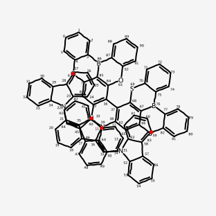 c1ccc2c(c1)Oc1cc(-n3c4ccccc4c4cccc(-n5c6ccccc6c6ccccc65)c43)c(-c3c(-n4c5ccccc5c5cccc(-n6c7ccccc7c7ccccc76)c54)cc4c5c3Sc3ccccc3B5c3ccccc3S4)c3c1B2c1ccccc1O3